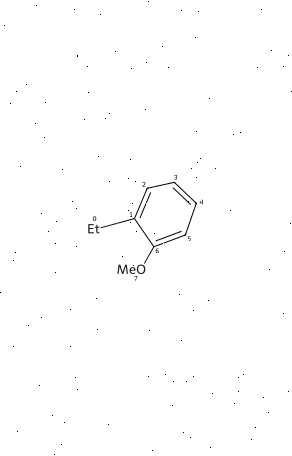 [CH2]Cc1ccccc1OC